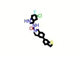 O=C(Nc1c[nH]c2cc(F)c(Cl)cc12)N1CCc2cc(-c3ccc4ccsc4c3)ccc2C1